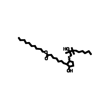 CCCCCCCCCCOC(=O)CCCCCCC1C(O)CCC1SCC(C)(O)C(C)(C)CCCCCC